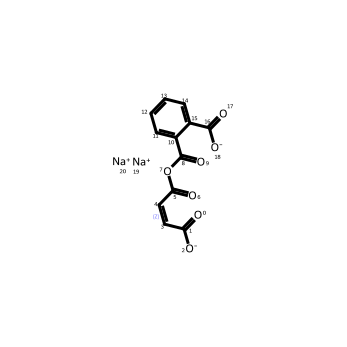 O=C([O-])/C=C\C(=O)OC(=O)c1ccccc1C(=O)[O-].[Na+].[Na+]